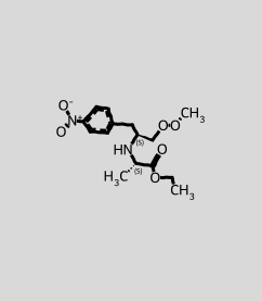 CCOC(=O)[C@H](C)N[C@H](COOC)Cc1ccc([N+](=O)[O-])cc1